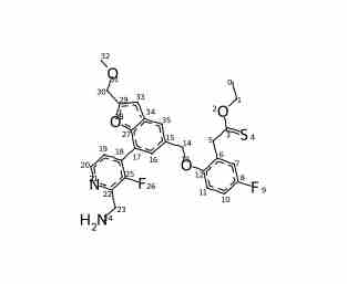 CCOC(=S)Cc1cc(F)ccc1OCc1cc(-c2ccnc(CN)c2F)c2oc(COC)cc2c1